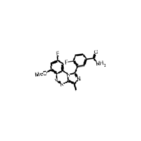 COc1cc(F)cc2c1nnc1c(C)nc(-c3cc(C(N)=O)ccc3F)n12